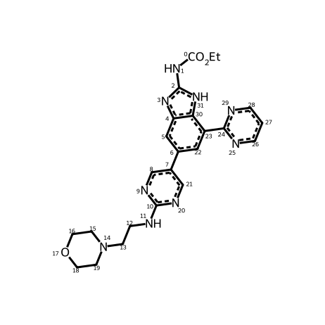 CCOC(=O)Nc1nc2cc(-c3cnc(NCCN4CCOCC4)nc3)cc(-c3ncccn3)c2[nH]1